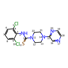 S=C(Nc1c(Cl)cccc1Cl)N1CCN(c2cnccn2)CC1